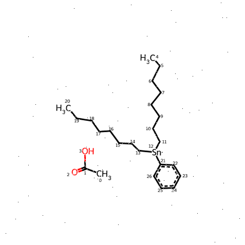 CC(=O)O.CCCCCCC[CH2][Sn]([CH2]CCCCCCC)[c]1ccccc1